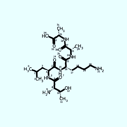 CC(C)C[C@H](NC(=O)[C@@H](N)[C@@H](C)O)C(=O)N[C@@H](CCCCN)C(=O)N[C@@H](C)C(=O)N[C@@H](C)C(=O)O